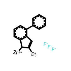 CCC1=Cc2c(-c3ccccc3)cccc2[CH]1[Zr+3].[F-].[F-].[F-]